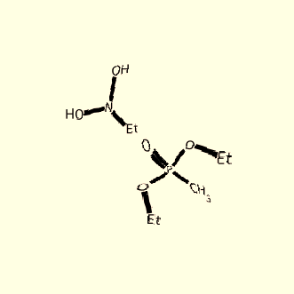 CCN(O)O.CCOP(C)(=O)OCC